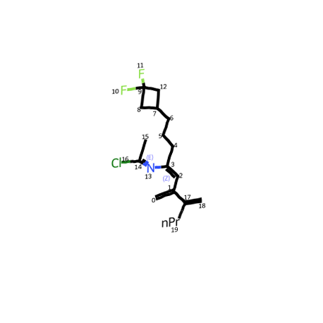 C=C(/C=C(CCCC1CC(F)(F)C1)\N=C(/C)Cl)C(=C)CCC